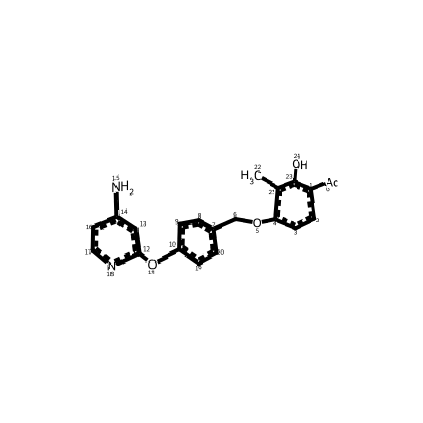 CC(=O)c1ccc(OCc2ccc(Oc3cc(N)ccn3)cc2)c(C)c1O